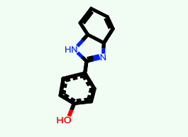 Oc1ccc(C2=NC3C=CC=CC3N2)cc1